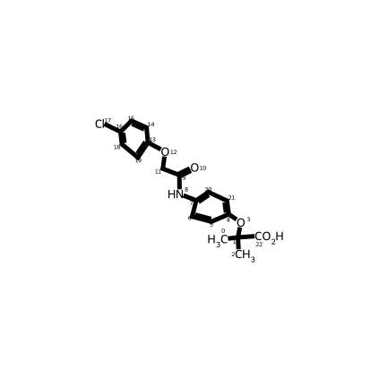 CC(C)(Oc1ccc(NC(=O)COc2ccc(Cl)cc2)cc1)C(=O)O